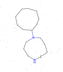 C1CCCCC(N2CCCCNCCC2)CCC1